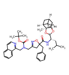 CC(C)C[C@H](NC(=O)C1(Cc2ccccc2)CC(CN(Cc2nccc3ccccc23)C(=O)OC(C)(C)C)=NO1)B1O[C@@H]2C[C@@H]3C[C@@H](C3(C)C)[C@]2(C)O1